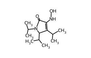 CC(C)C1=C(NO)C(=O)N(C(C)C)C1C(C)C